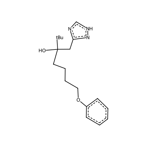 CC(C)(C)C(O)(CCCCOc1ccccc1)Cc1nc[nH]n1